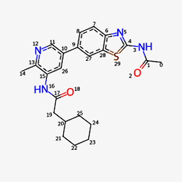 CC(=O)Nc1nc2ccc(-c3cnc(C)c(NC(=O)CC4CCCCC4)c3)cc2s1